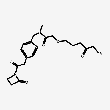 CC(C)CC(=O)CCCOCC(=O)N(C)Cc1ccc(CC(=O)N2CCC2=O)cc1